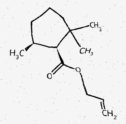 C=CCOC(=O)[C@H]1[C@@H](C)CCCC1(C)C